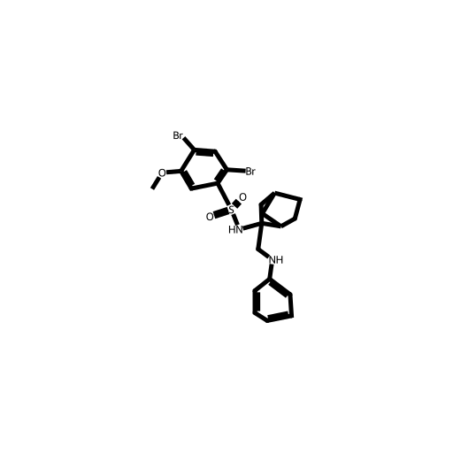 COc1cc(S(=O)(=O)NC2(CNc3ccccc3)CC3CCC2C3)c(Br)cc1Br